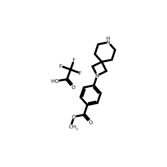 COC(=O)c1ccc(N2CC3(CCNCC3)C2)cc1.O=C(O)C(F)(F)F